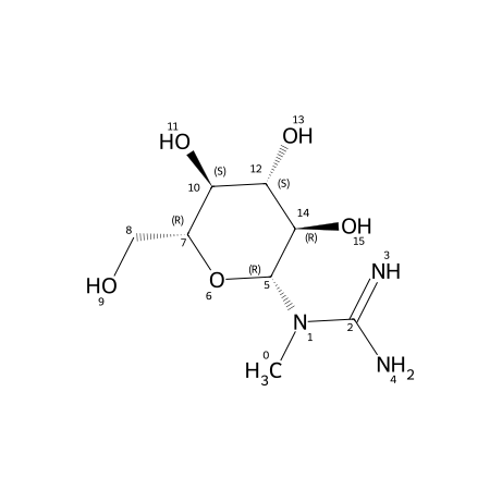 CN(C(=N)N)[C@@H]1O[C@H](CO)[C@@H](O)[C@H](O)[C@H]1O